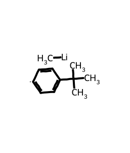 CC(C)(C)c1cc[c]cc1.[Li][CH3]